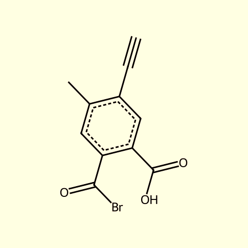 C#Cc1cc(C(=O)O)c(C(=O)Br)cc1C